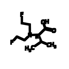 CC(C)[C@@H](C(=O)O)N(CCF)CCF